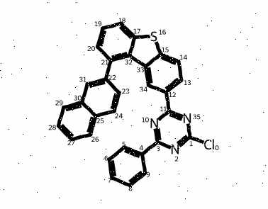 Clc1nc(-c2ccccc2)nc(-c2ccc3sc4cccc(-c5ccc6ccccc6c5)c4c3c2)n1